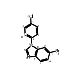 Clc1ccc(-n2cnc3ccc(Br)cc32)nc1